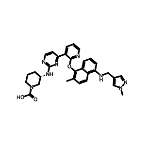 Cc1ccc2c(NCc3cnn(C)c3)cccc2c1Oc1ncccc1-c1ccnc(N[C@H]2CCCN(C(=O)O)C2)n1